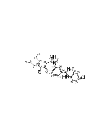 CCCN(CCC)C(=O)C1=Cc2ccc(C3=NCc4cc(Cl)ccc4N3)cc2N=C(N)C1